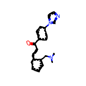 CN(C)Cc1ccccc1C=CC(=O)c1ccc(-n2ccnc2)cc1